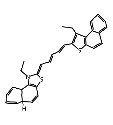 CCc1c(/C=C/C=C/C=C2\SC3=C(C4C=CC=C[C@@H]4C=C3)N2CC)sc2ccc3ccccc3c12